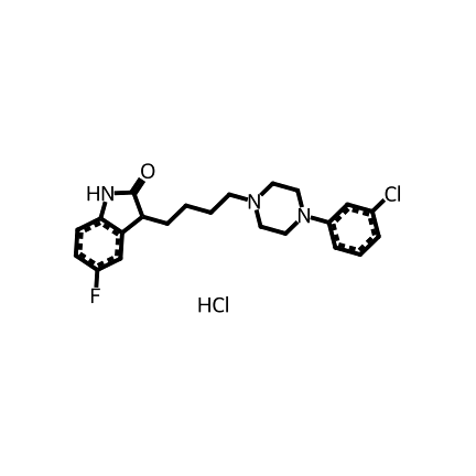 Cl.O=C1Nc2ccc(F)cc2C1CCCCN1CCN(c2cccc(Cl)c2)CC1